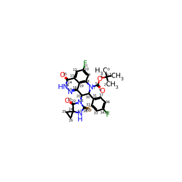 CC(C)(C)OC(=O)N1c2cc(F)cc3c(=O)[nH]nc(c23)C(N2C(=O)C3(CC3)NC2=S)C1c1ccc(F)cc1